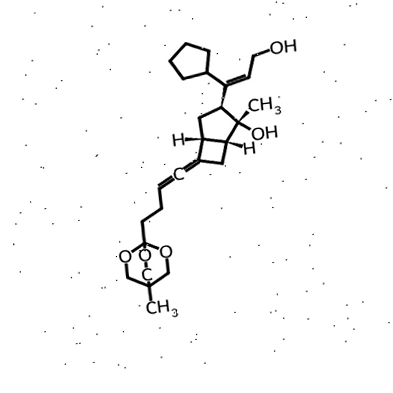 CC12COC(CCC=C=C3C[C@@H]4[C@H]3C[C@@H](/C(=C/CO)C3CCCC3)[C@]4(C)O)(OC1)OC2